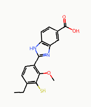 CCc1ccc(-c2nc3cc(C(=O)O)ccc3[nH]2)c(OC)c1S